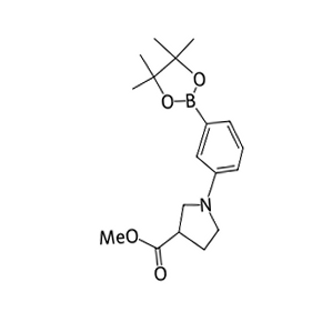 COC(=O)C1CCN(c2cccc(B3OC(C)(C)C(C)(C)O3)c2)C1